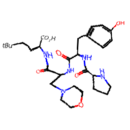 CC(C)(C)CCC(NC(=O)C(CN1CCOCC1)NC(=O)C(Cc1ccc(O)cc1)NC(=O)[C@@H]1CCCN1)C(=O)O